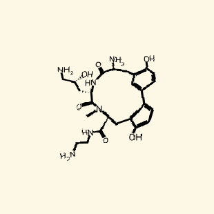 CN1C(=O)[C@H](C[C@@H](O)CN)NC(=O)[C@@H](N)Cc2cc(ccc2O)-c2ccc(O)c(c2)C[C@H]1C(=O)NCCN